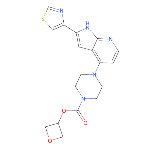 O=C(OC1COC1)N1CCN(c2ccnc3[nH]c(-c4cscn4)cc23)CC1